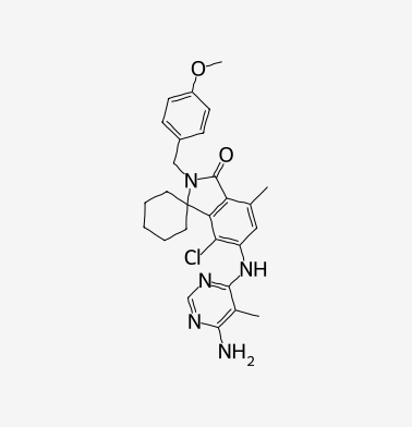 COc1ccc(CN2C(=O)c3c(C)cc(Nc4ncnc(N)c4C)c(Cl)c3C23CCCCC3)cc1